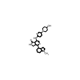 Cn1ccc2c(-c3ncc(Nc4ccc(N5CCC(O)CC5)cn4)c4c3CNC4=O)cccc21